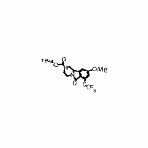 COc1cc(OC(F)(F)F)c2c(c1)C1CN(C(=O)OC(C)(C)C)CCN1C2=O